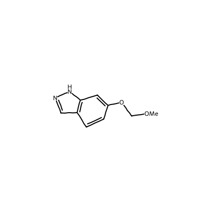 COCOc1ccc2cn[nH]c2c1